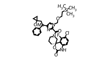 COC1(CC(c2ccccc2)c2cn(COCC[Si](C)(C)C)c(C(=O)N3CCC[C@@]4(C3)OC(=O)Nc3ccc(Cl)c(F)c34)n2)CC1